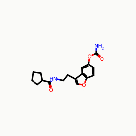 NC(=O)Oc1ccc2occ(CCNC(=O)C3CCCC3)c2c1